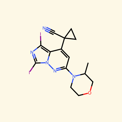 CC1COCCN1c1cc(C2(C#N)CC2)c2c(I)nc(I)n2n1